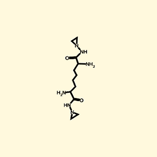 NC(CCCCC(N)C(=O)NN1CC1)C(=O)NN1CC1